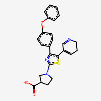 O=C(O)C1CCN(c2nc(-c3ccc(Oc4ccccc4)cc3)c(C3=CCCN=C3)s2)C1